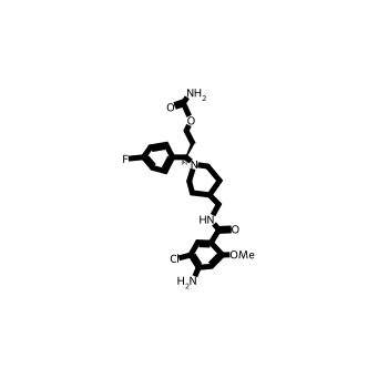 COc1cc(N)c(Cl)cc1C(=O)NCC1CCN([C@H](CCOC(N)=O)c2ccc(F)cc2)CC1